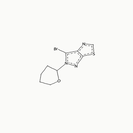 Brc1c2ncsc2nn1C1CCCCO1